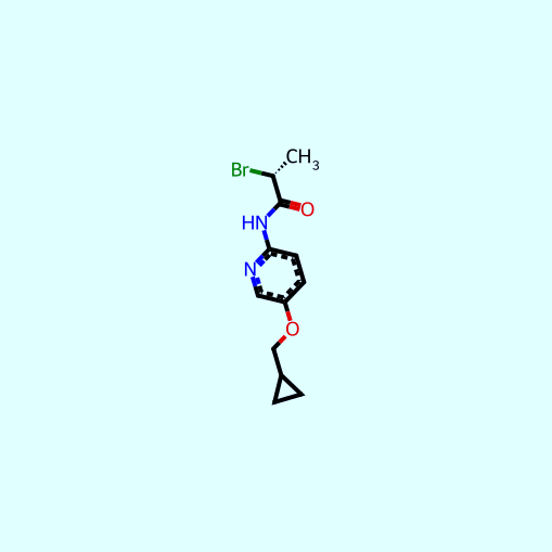 C[C@@H](Br)C(=O)Nc1ccc(OCC2CC2)cn1